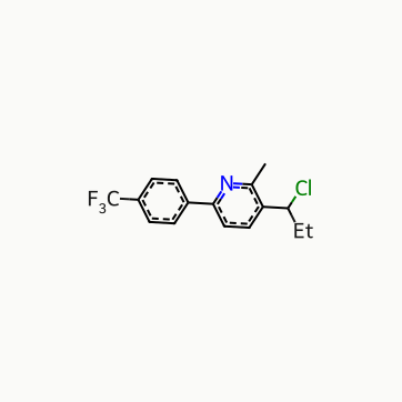 CCC(Cl)c1ccc(-c2ccc(C(F)(F)F)cc2)nc1C